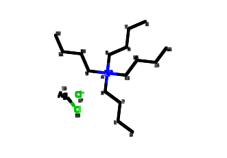 CCCC[N+](CCCC)(CCCC)CCCC.[Cl-].[Cl][Ag]